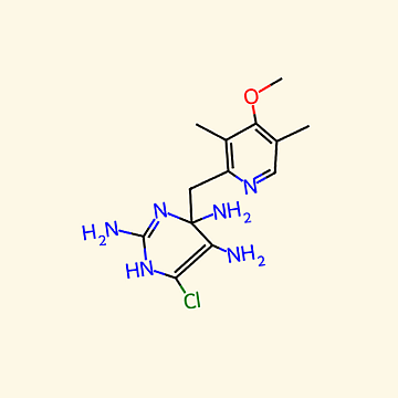 COc1c(C)cnc(CC2(N)N=C(N)NC(Cl)=C2N)c1C